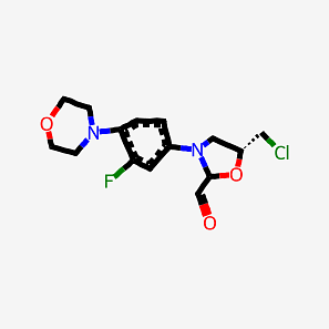 O=CC1O[C@@H](CCl)CN1c1ccc(N2CCOCC2)c(F)c1